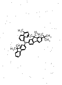 Cc1cccc2c(N(c3ccc4c(c3)C(C)(C)c3ccccc3-4)c3ccc4c(c3)C(C)(C)c3cc(C(C)(C)C)ccc3-4)cccc12